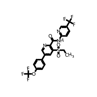 CCS(=O)(=O)c1cc(-c2ccc(OC(F)(F)F)cc2)cnc1C(=O)Nc1ccc(C(F)(F)F)cn1